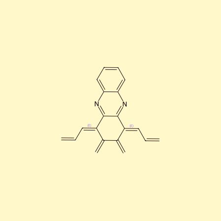 C=C/C=c1\c(=C)c(=C)/c(=C\C=C)c2nc3ccccc3nc12